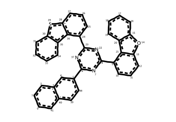 c1ccc2cc(-c3nc(-c4cccc5oc6ccccc6c45)nc(-c4cccc5sc6ccccc6c45)n3)ccc2c1